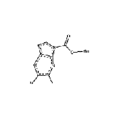 Cc1nc2c(ccn2C(=O)OC(C)(C)C)cc1Br